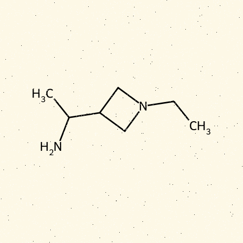 CCN1CC(C(C)N)C1